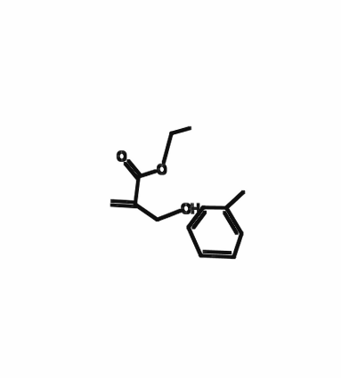 C=C(CO)C(=O)OCC.Cc1ccccc1